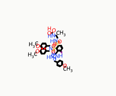 COc1ccc(CN2NN=C(c3c(I)ccc(S(=O)(=O)NCC(C)NC(=O)O)c3S(=O)(=O)N(Cc3ccc(OC)cc3)Cc3ccc(OC)cc3)N2)cc1